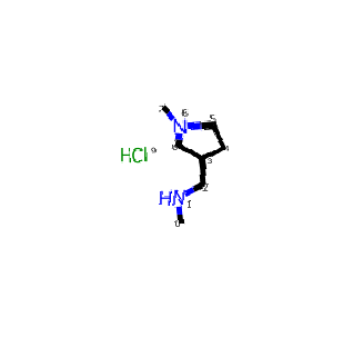 CNCC1CCN(C)C1.Cl